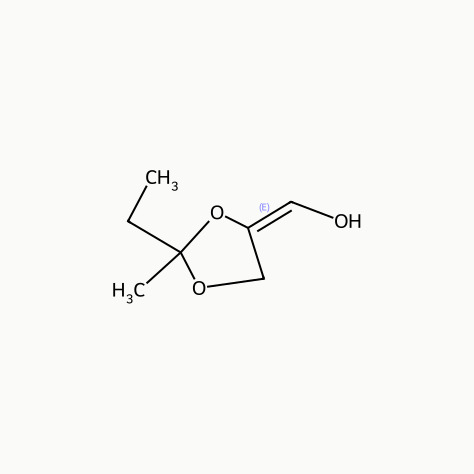 CCC1(C)OC/C(=C\O)O1